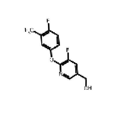 OCc1cnc(Oc2ccc(F)c(C(F)(F)F)c2)c(F)c1